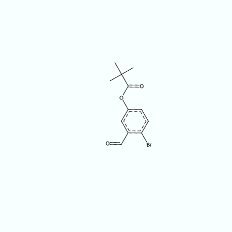 CC(C)(C)C(=O)Oc1ccc(Br)c(C=O)c1